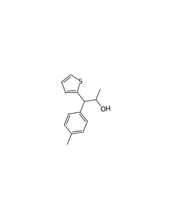 Cc1ccc(C(c2cccs2)C(C)O)cc1